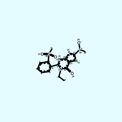 CCn1c(-c2ccccc2S(C)(=O)=O)nc2sc([S+](C)[O-])nc2c1=O